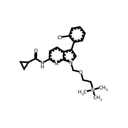 C[Si](C)(C)CCOCn1cc(-c2ccccc2Cl)c2ccc(NC(=O)C3CC3)nc21